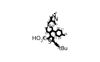 Cc1nn(C)cc1CN1CCC(c2cc(C#CC(C)(C)C)sc2C(=O)O)=C(C2CCC(C)CC2)C1